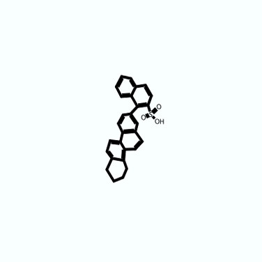 O=S(=O)(O)c1ccc2ccccc2c1-c1ccc2c(ccc3c4c(ccc32)CCCC4)c1